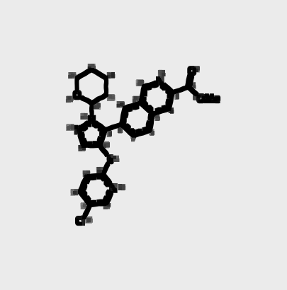 COC(=O)c1cc2ccc(-c3c(Sc4ccc(Cl)cn4)cnn3C3CCCCO3)cc2cn1